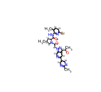 CC(=O)c1nn(CC(=O)N2C[C@H](C)C[C@H]2C(=O)Nc2nc(Br)ccc2C)c2cnc(-c3cnc(C)nc3)cc12